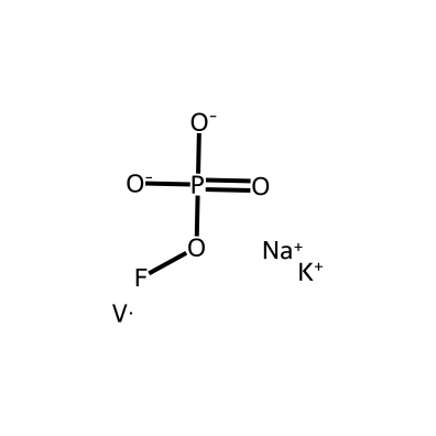 O=P([O-])([O-])OF.[K+].[Na+].[V]